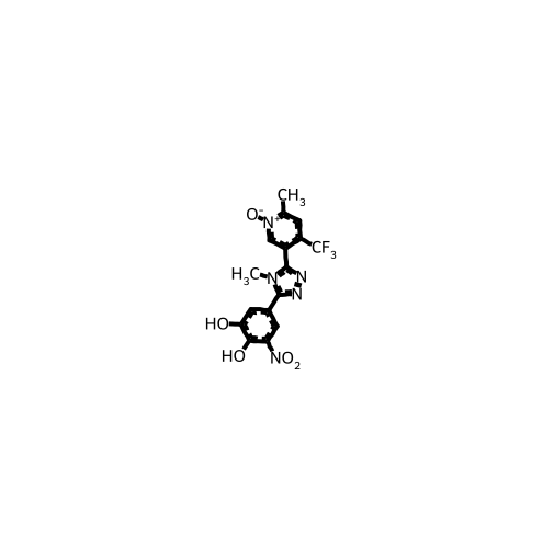 Cc1cc(C(F)(F)F)c(-c2nnc(-c3cc(O)c(O)c([N+](=O)[O-])c3)n2C)c[n+]1[O-]